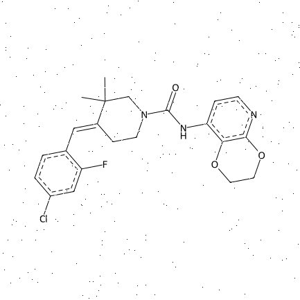 CC1(C)CN(C(=O)Nc2ccnc3c2OCCO3)CC/C1=C\c1ccc(Cl)cc1F